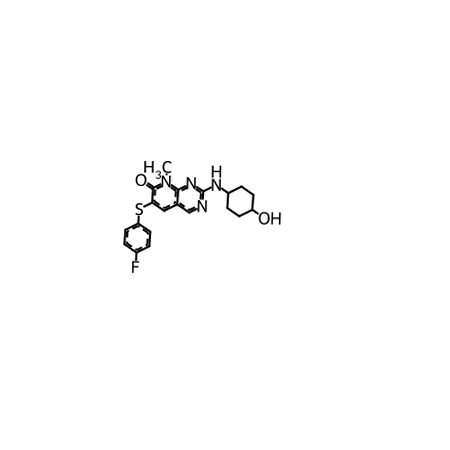 Cn1c(=O)c(Sc2ccc(F)cc2)cc2cnc(NC3CCC(O)CC3)nc21